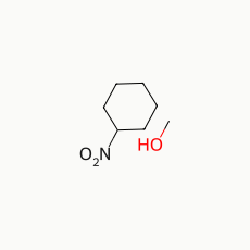 CO.O=[N+]([O-])C1CCCCC1